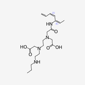 C=C/C=C\C(=C/C)NC(=O)CN(CCN(CCNCCC)CC(=O)O)CC(=O)O